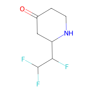 O=C1CCNC(C(F)C(F)F)C1